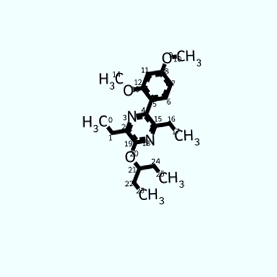 CCc1nc(-c2ccc(OC)cc2OC)c(CC)nc1OC(CC)CC